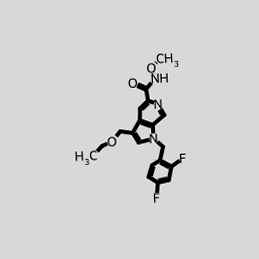 CCOCc1cn(Cc2ccc(F)cc2F)c2cnc(C(=O)NOC)cc12